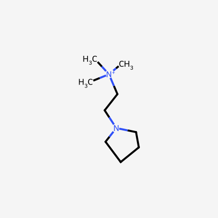 C[N+](C)(C)CCN1CCCC1